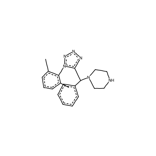 Cc1cccc(C)c1-n1nnnc1C(c1ccccc1)N1CCNCC1